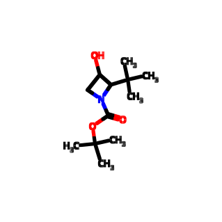 CC(C)(C)OC(=O)N1CC(O)C1C(C)(C)C